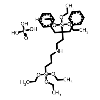 CCO[Si](CCCNCCC(Cc1ccccc1)(Cc1ccccc1)[Si](OCC)(OCC)OCC)(OCC)OCC.O=P(O)(O)O